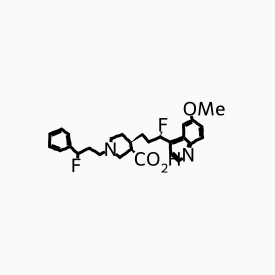 COc1ccc2nccc([C@@H](F)CC[C@@H]3CCN(CCC(F)c4ccccc4)C[C@@H]3C(=O)O)c2c1